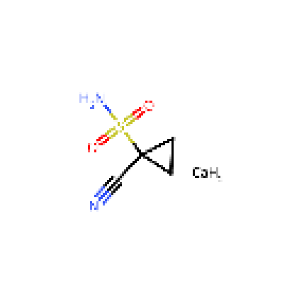 N#CC1(S(N)(=O)=O)CC1.[CaH2]